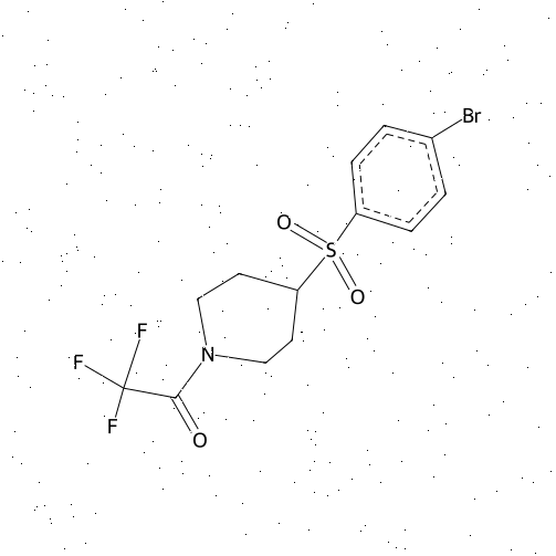 O=C(N1CCC(S(=O)(=O)c2ccc(Br)cc2)CC1)C(F)(F)F